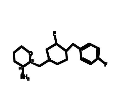 N[C@@H]1CCCO[C@@H]1CN1CCC(Cc2ccc(F)cc2)C(F)C1